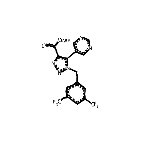 COC(=O)c1nnn(Cc2cc(C(F)(F)F)cc(C(F)(F)F)c2)c1-c1cncnc1